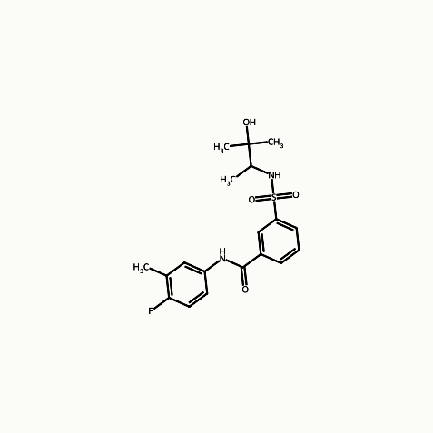 Cc1cc(NC(=O)c2cccc(S(=O)(=O)NC(C)C(C)(C)O)c2)ccc1F